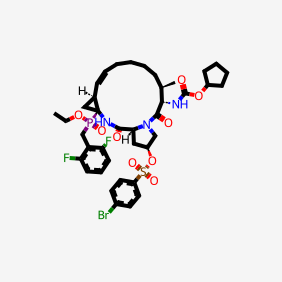 CCOP(=O)(Cc1c(F)cccc1F)[C@@]12C[C@H]1/C=C\CCCC[C@@H](C)[C@H](NC(=O)OC1CCCC1)C(=O)N1C[C@@H](OS(=O)(=O)c3ccc(Br)cc3)C[C@H]1C(=O)N2